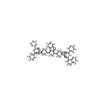 C1=C(c2ccccc2)N=C(c2ccc(-c3ccc(-c4ccc(C5=NC(c6cccc7ccccc67)CC(c6ccccc6)N5)cc4)c4oc5ccccc5c34)cc2)NC1c1ccccc1